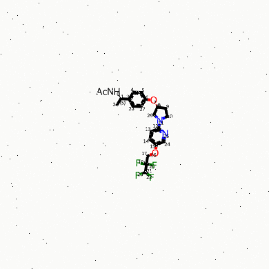 CC(=O)N[C@@H](C)c1ccc(O[C@@H]2CCN(c3ccc(OCC(F)(F)C(F)F)cn3)C2)cc1